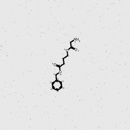 NCC(=O)OCCCC(=O)OCc1ccccc1